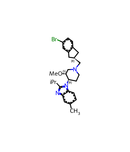 CO[C@H]1CN(C[C@@H]2Cc3ccc(Br)cc3C2)CC[C@H]1n1c(C(C)C)nc2cc(C)ccc21